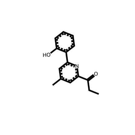 CCC(=O)c1cc(C)cc(-c2ccccc2O)n1